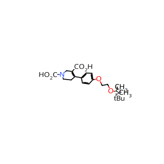 CC(C)(C)[Si](C)(C)OCCOc1ccc(C2=C(C(=O)O)CN(C(=O)O)CC2)cc1